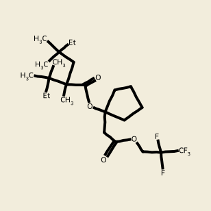 CCC(C)(C)CC(C)(C(=O)OC1(CC(=O)OCC(F)(F)C(F)(F)F)CCCC1)C(C)(C)CC